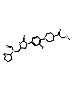 COCC(=O)N1CCN(c2ccc(N3CC(CN(C=O)C4CCCN4)OC3=O)cc2F)CC1